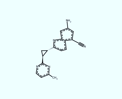 Cc1ccnc([C@H]2C[C@@H]2c2ccc3c(C#N)cc(N)cc3n2)n1